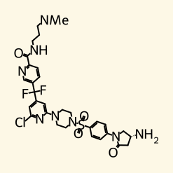 CNCCCNC(=O)c1ccc(C(F)(F)c2cc(Cl)nc(N3CCN(S(=O)(=O)c4ccc(N5C[C@H](N)CC5=O)cc4)CC3)c2)cn1